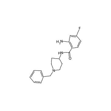 Nc1cc(F)ccc1C(=O)NC1CCN(Cc2ccccc2)CC1